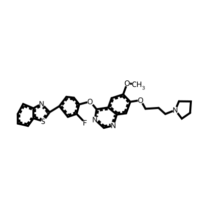 COc1cc2c(Oc3ccc(-c4nc5ccccc5s4)cc3F)ncnc2cc1OCCCN1CCCC1